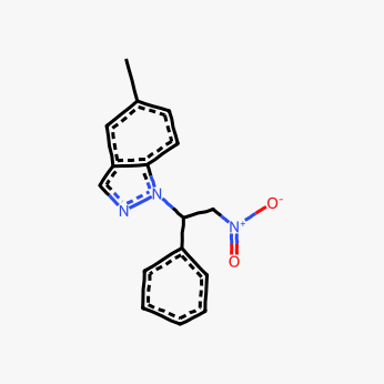 Cc1ccc2c(cnn2C(C[N+](=O)[O-])c2ccccc2)c1